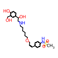 CS(=O)(=O)Nc1ccc(/C=C\COCCCCCCNCC(O)c2ccc(O)c(CO)c2)cc1